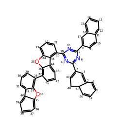 C1=CC2=CC(c3nc(-c4ccc5ccccc5c4)nc(-c4cccc5oc6c(-c7cccc8c7oc7ccccc78)cccc6c45)n3)=CCC2C=C1